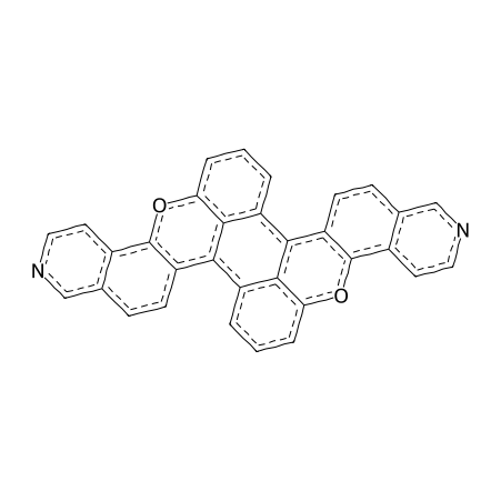 c1cc2oc3c4ccncc4ccc3c3c4cccc5oc6c7ccncc7ccc6c(c(c1)c23)c54